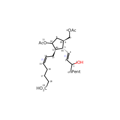 CCCCCC(O)/C=C/[C@H]1[C@H](COC(C)=O)CC(OC(C)=O)[C@@H]1C/C=C\CCCC(=O)O